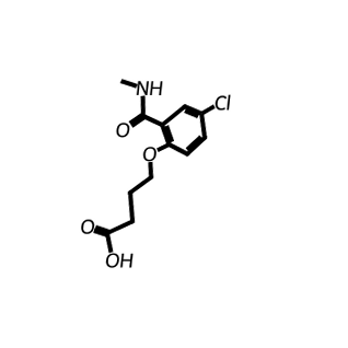 CNC(=O)c1cc(Cl)ccc1OCCCC(=O)O